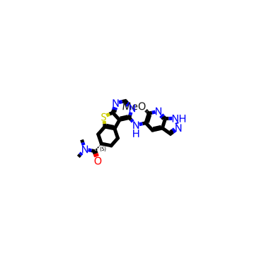 COc1nc2[nH]ncc2cc1Nc1ncnc2sc3c(c12)CC[C@H](C(=O)N(C)C)C3